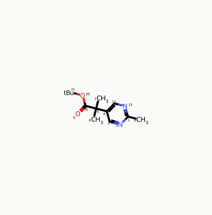 Cc1ncc(C(C)(C)C(=O)OC(C)(C)C)cn1